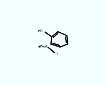 CCCCCCl.CCCCc1ccccc1